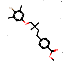 COC(=O)c1ccc(CCC(C)(C)COc2cc(C)c(Br)c(C)c2)cc1